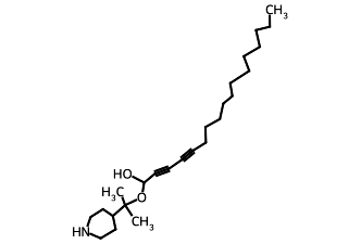 CCCCCCCCCCCCC#CC#CC(O)OC(C)(C)C1CCNCC1